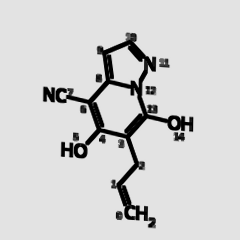 C=CCc1c(O)c(C#N)c2ccnn2c1O